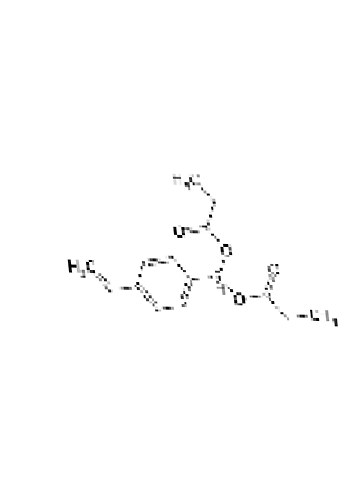 C=Cc1ccc([SiH](OC(=O)CC)OC(=O)CC)cc1